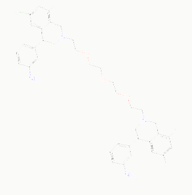 Nc1cccc(C2CN(CCOCCOCCOCCN3Cc4c(Cl)cc(Cl)cc4C(c4cccc(N)c4)C3)Cc3c(Cl)cc(Cl)cc32)c1